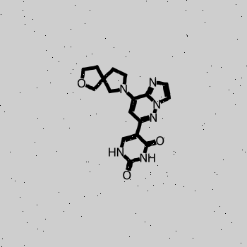 O=c1[nH]cc(-c2cc(N3CCC4(CCOC4)C3)c3nccn3n2)c(=O)[nH]1